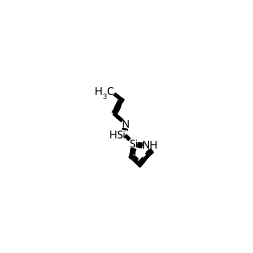 CC=CN=[SiH][si]1ccc[nH]1